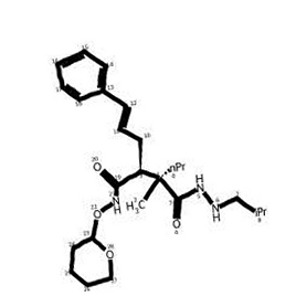 CCC[C@@](C)(C(=O)NNCC(C)C)[C@H](CC=Cc1ccccc1)C(=O)NOC1CCCCO1